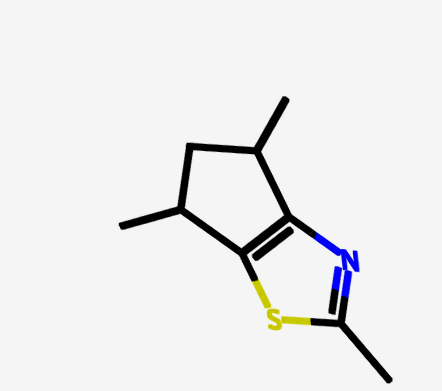 Cc1nc2c(s1)C(C)CC2C